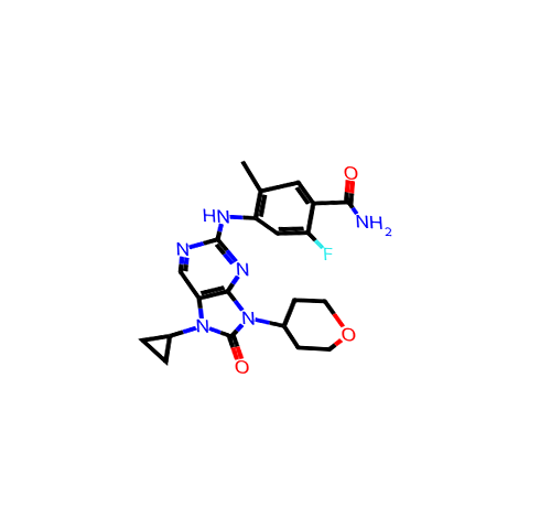 Cc1cc(C(N)=O)c(F)cc1Nc1ncc2c(n1)n(C1CCOCC1)c(=O)n2C1CC1